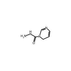 NNC(=O)N1C=NC=CC1